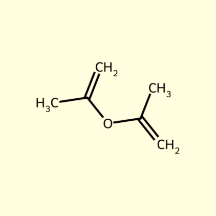 C=C(C)OC(=C)C